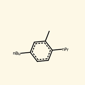 [CH2]CCc1ccc(CCCC)cc1C